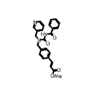 COC(=O)/C=C/c1ccc(CN(Cc2cccnc2)C(=O)NC(=O)c2ccccc2)cc1